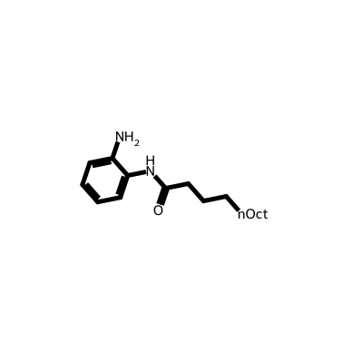 CCCCCCCCCCCC(=O)Nc1ccccc1N